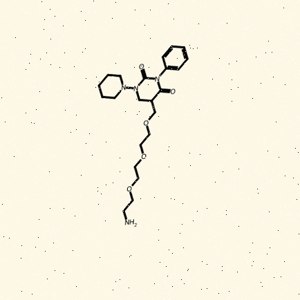 NCCOCCOCCOCC1CN(N2CCCCC2)C(=O)N(c2ccccc2)C1=O